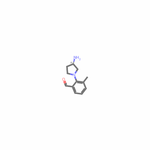 Cc1cccc(C=O)c1N1CC[C@@H](N)C1